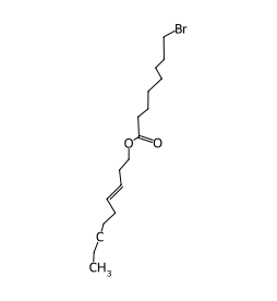 CCCCCC=CCCOC(=O)CCCCCCCBr